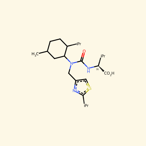 CC1CCC(C(C)C)C(N(Cc2csc(C(C)C)n2)C(=O)N[C@H](C(=O)O)C(C)C)C1